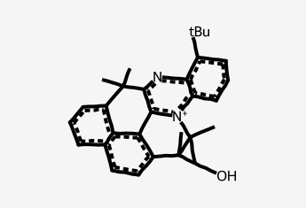 CC(C)(C)c1cccc2c1nc1c3[n+]2C2(C)C(O)C2(C)c2ccc4cccc(c4c2-3)C1(C)C